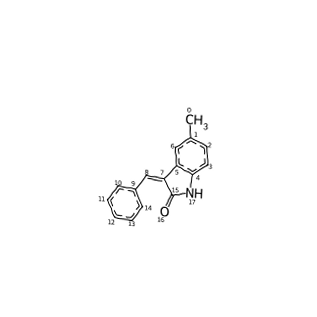 Cc1ccc2c(c1)/C(=C/c1ccccc1)C(=O)N2